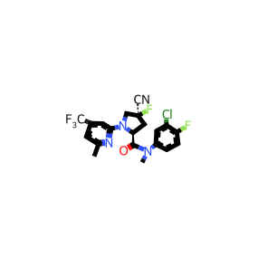 Cc1cc(C(F)(F)F)cc(N2C[C@](F)(C#N)C[C@H]2C(=O)N(C)c2ccc(F)c(Cl)c2)n1